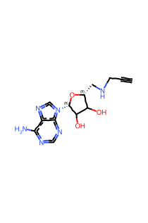 C#CCNC[C@H]1O[C@@H](n2cnc3c(N)ncnc32)C(O)C1O